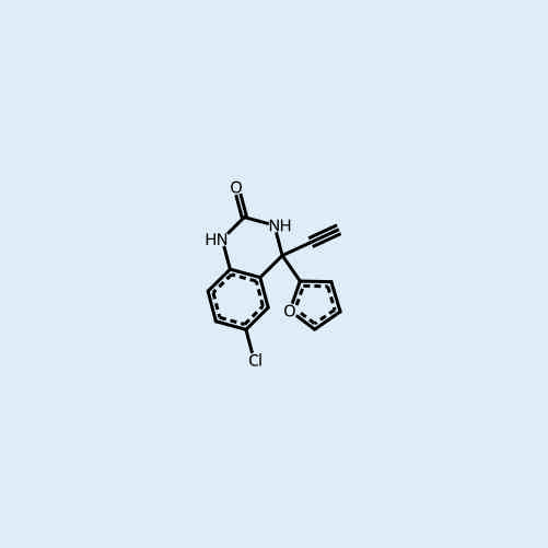 C#CC1(c2ccco2)NC(=O)Nc2ccc(Cl)cc21